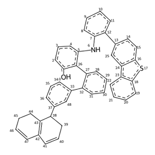 Oc1cccc(Nc2ccccc2-c2ccc3sc4ccccc4c3c2)c1-c1ccccc1-c1cccc(C2CC=CC3=C2CCC=C3)c1